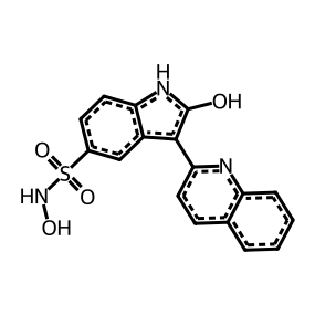 O=S(=O)(NO)c1ccc2[nH]c(O)c(-c3ccc4ccccc4n3)c2c1